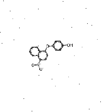 O=[N+]([O-])c1ccc(Oc2ccc(O)cc2)c2ccccc12